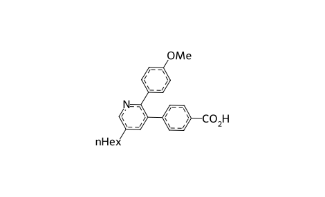 CCCCCCc1cnc(-c2ccc(OC)cc2)c(-c2ccc(C(=O)O)cc2)c1